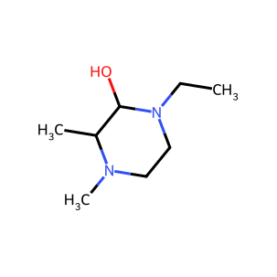 CCN1CCN(C)C(C)C1O